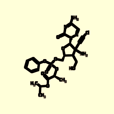 CC(C)OC(=O)[C@H](C)OP(=O)(OC[C@H]1O[C@@H](n2ncc(N)nc2=O)C(N)(C#CCl)C1CO)Oc1ccccc1